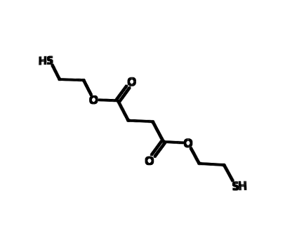 O=C(CCC(=O)OCCS)OCCS